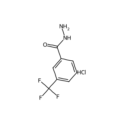 Cl.NNC(=O)c1cccc(C(F)(F)F)c1